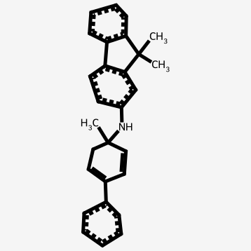 CC1(Nc2ccc3c(c2)C(C)(C)c2ccccc2-3)C=CC(c2ccccc2)=CC1